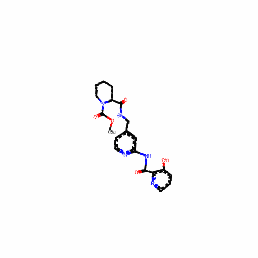 CCCCOC(=O)N1CCCCC1C(=O)NCc1ccnc(NC(=O)c2ncccc2O)c1